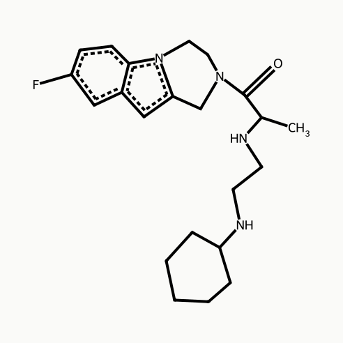 CC(NCCNC1CCCCC1)C(=O)N1CCn2c(cc3cc(F)ccc32)C1